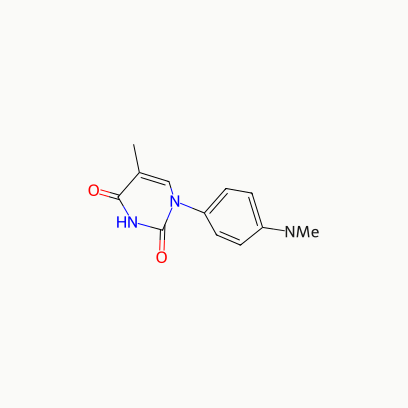 CNc1ccc(-n2cc(C)c(=O)[nH]c2=O)cc1